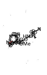 CC[C@H]1OC(=O)[C@H](C)[C@@H](O[C@H]2C[C@@](C)(OC)[C@@H](OC(=O)CCOCCNc3ccc4c(c3)c(=O)c(C(=O)OCCCN(C)C)cn4C3CC3)[C@H](C)O2)[C@H](C)[C@@H](O[C@@H]2O[C@H](C)C[C@H](N(C)C)[C@@H]2O)[C@](C)(O)C[C@@H](C)CN(C)[C@H](C)[C@@H](O)[C@]1(C)O